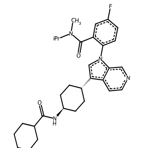 CC(C)N(C)C(=O)c1cc(F)ccc1-n1cc([C@H]2CC[C@H](NC(=O)C3CCCCC3)CC2)c2ccncc21